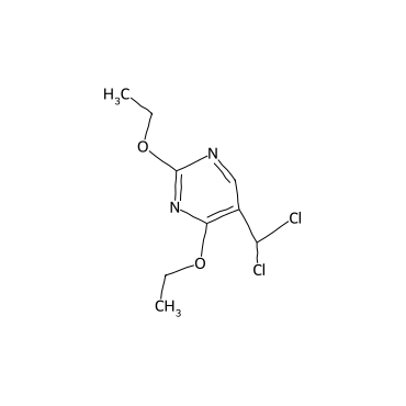 CCOc1ncc(C(Cl)Cl)c(OCC)n1